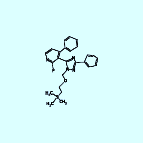 C[Si](C)(C)CCOCn1nc(-c2ccccc2)nc1-c1c(-c2ccccc2)ccnc1F